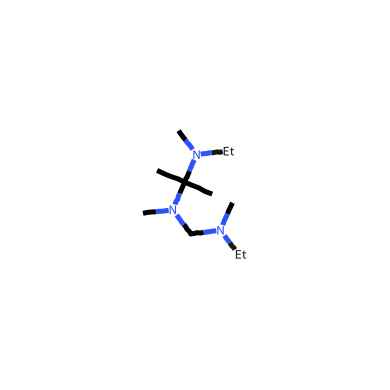 CCN(C)CN(C)C(C)(C)N(C)CC